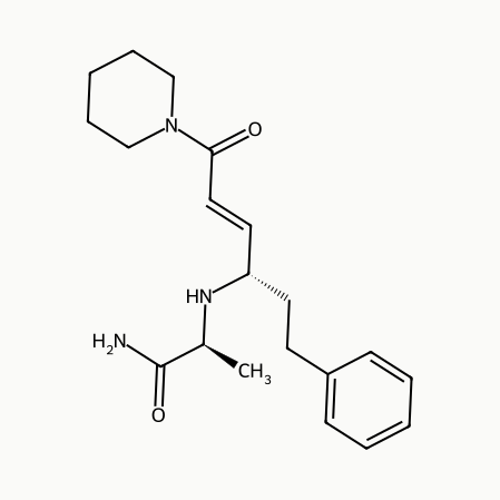 C[C@H](N[C@H](/C=C/C(=O)N1CCCCC1)CCc1ccccc1)C(N)=O